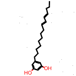 CCC/C=C/C=C/CCCCCCCCc1cc(O)cc(O)c1